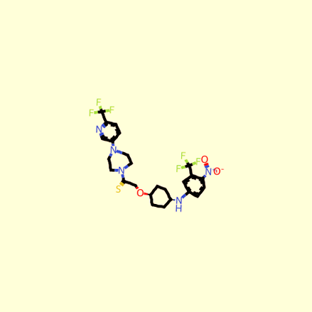 O=[N+]([O-])c1ccc(N[C@H]2CC[C@H](OCC(=S)N3CCN(c4ccc(C(F)(F)F)nc4)CC3)CC2)cc1C(F)(F)F